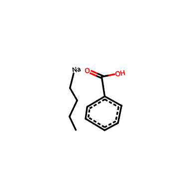 CCC[CH2][Na].O=C(O)c1ccccc1